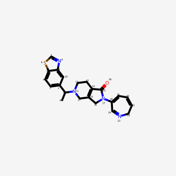 CC(c1ccc2scnc2c1)N1CCC2=C(CN(C3=CC=CCN=C3)C2=O)C1